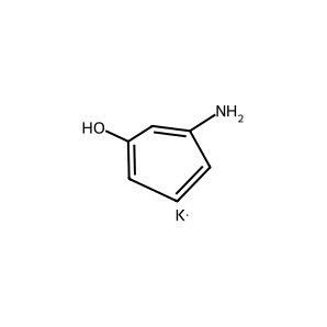 Nc1cccc(O)c1.[K]